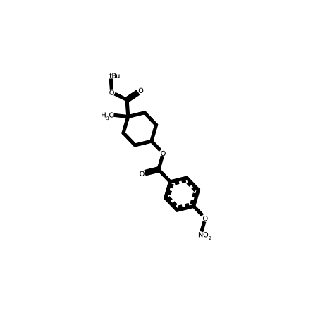 CC(C)(C)OC(=O)C1(C)CCC(OC(=O)c2ccc(O[N+](=O)[O-])cc2)CC1